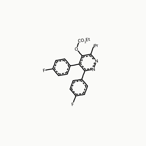 CCOC(=O)Oc1c(C(C)C)nnc(-c2ccc(F)cc2)c1-c1ccc(F)cc1